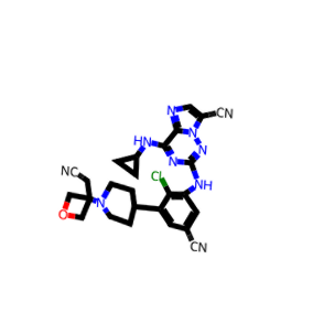 N#CCC1(N2CCC(c3cc(C#N)cc(Nc4nc(NC5CC5)c5ncc(C#N)n5n4)c3Cl)CC2)COC1